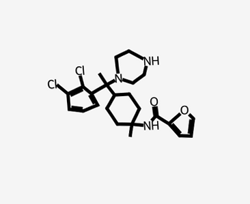 CC1(NC(=O)c2ccco2)CCC(C(C)(c2cccc(Cl)c2Cl)N2CCNCC2)CC1